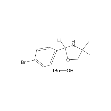 CC(C)(C)O.[Li][C]1(c2ccc(Br)cc2)NC(C)(C)CO1